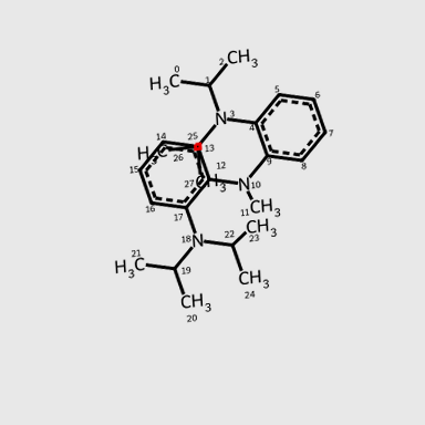 CC(C)N(c1ccccc1N(C)c1ccccc1N(C(C)C)C(C)C)C(C)C